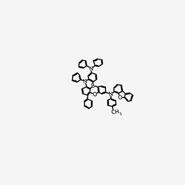 Cc1ccc(N(c2ccc3c(c2)Oc2c(-c4ccccc4)ccc4c2B3c2ccc(N(c3ccccc3)c3ccccc3)cc2N4c2ccccc2)c2cccc3c2oc2ccccc23)cc1